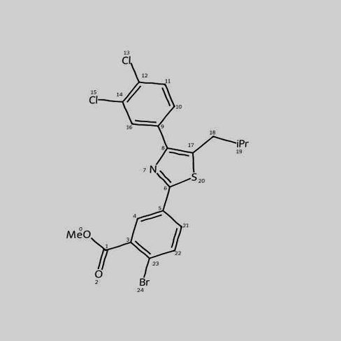 COC(=O)c1cc(-c2nc(-c3ccc(Cl)c(Cl)c3)c(CC(C)C)s2)ccc1Br